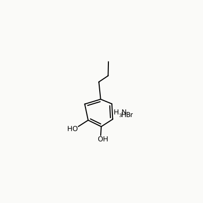 Br.CCCc1ccc(O)c(O)c1.N